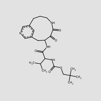 CC(C)C(NC(=O)OCC(C)(C)C)C(=O)NC1Cc2cncc(c2)CCCNC(=O)C1=O